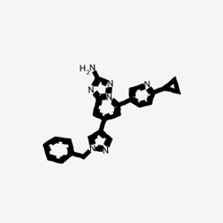 Nc1nc2cc(-c3cnn(Cc4ccccc4)c3)cc(-c3ccc(C4CC4)nc3)n2n1